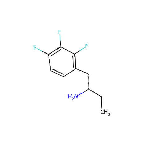 CCC(N)Cc1ccc(F)c(F)c1F